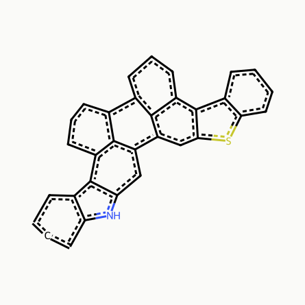 c1ccc2c(c1)[nH]c1cc3c4cc5sc6ccccc6c5c5cccc(c6cccc(c12)c63)c45